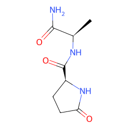 C[C@@H](NC(=O)[C@@H]1CCC(=O)N1)C(N)=O